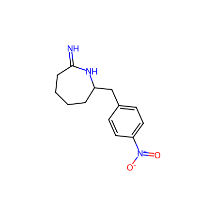 N=C1CCCCC(Cc2ccc([N+](=O)[O-])cc2)N1